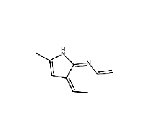 C=C/N=C1/NC(C)=C/C1=C/C